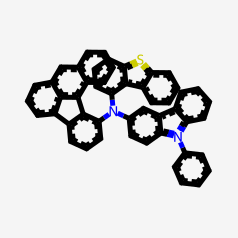 c1ccc(-n2c3ccccc3c3cc(N(c4cccc5c4-c4c6ccccc6cc6cccc-5c46)c4cccc5sc6ccccc6c45)ccc32)cc1